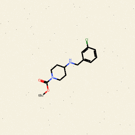 CC(C)(C)OC(=O)N1CCC(NCc2cccc(Cl)c2)CC1